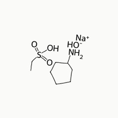 CCS(=O)(=O)O.NC1CCCCC1.[Na+].[OH-]